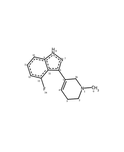 CN1CCC=C(c2n[nH]c3cccc(F)c23)C1